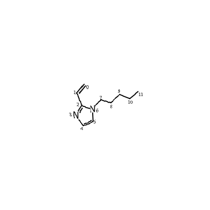 C=Cc1nccn1CCCCC